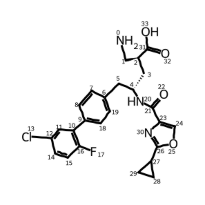 NC[C@H](C[C@@H](Cc1ccc(-c2cc(Cl)ccc2F)cc1)NC(=O)c1coc(C2CC2)n1)C(=O)O